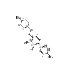 CCc1ccc(-c2ccc(CCC3CCC(CC)CC3)c(F)c2F)nn1